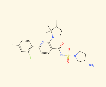 Cc1ccc(-c2ccc(C(=O)NS(=O)(=O)N3CC[C@H](N)C3)c(N3CCC(C)C3(C)C)n2)c(F)c1